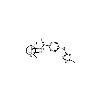 Cc1cc(Sc2ccc(C(=O)N[C@@H]3C4CCN(CC4)[C@H]3C)cc2)no1